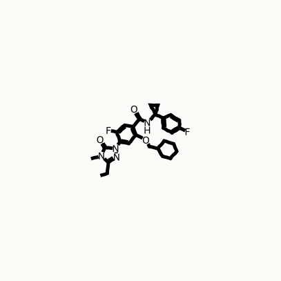 CCc1nn(-c2cc(OCC3CCCCC3)c(C(=O)NC3(c4ccc(F)cc4)CC3)cc2F)c(=O)n1C